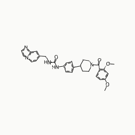 COc1ccc(C(=O)N2CCC(c3ccc(NC(=O)NCc4ccn5ccnc5c4)cc3)CC2)c(OC)c1